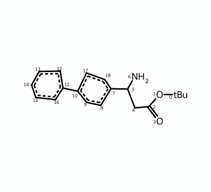 CC(C)(C)OC(=O)CC(N)c1ccc(-c2ccccc2)cc1